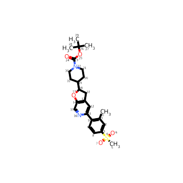 Cc1cc(S(C)(=O)=O)ccc1-c1cc2c(cn1)OC(C1CCN(C(=O)OC(C)(C)C)CC1)C2